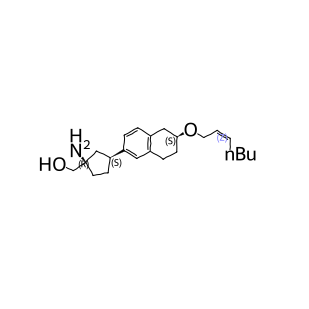 CCCC/C=C\CO[C@H]1CCc2cc([C@H]3CC[C@](N)(CO)C3)ccc2C1